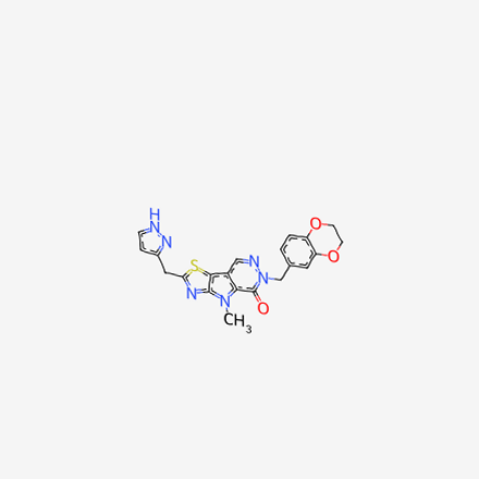 Cn1c2nc(Cc3cc[nH]n3)sc2c2cnn(Cc3ccc4c(c3)OCCO4)c(=O)c21